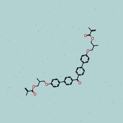 C=C(C)C(=O)OCC(C)COc1ccc(-c2ccc(C(=O)c3ccc(-c4ccc(OCC(C)COC(=O)C(=C)C)cc4)cc3)cc2)cc1